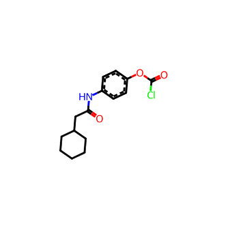 O=C(CC1CCCCC1)Nc1ccc(OC(=O)Cl)cc1